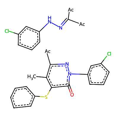 CC(=O)C(=NNc1cccc(Cl)c1)C(C)=O.CC(=O)c1nn(-c2cccc(Cl)c2)c(=O)c(Sc2ccccc2)c1C